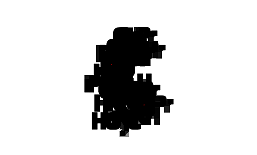 CC(C)C[C@H](NC(=O)CN)C(=O)N[C@@H](CC(C)C)C(=O)N[C@@H](CO)C(=O)N[C@H](C(=O)N[C@@H](CC(C)C)C(=O)NCC(=O)N[C@@H](CO)C(=O)N[C@H](C(=O)N[C@@H](C)C(=O)N[C@@H](CCCCN)C(=O)N[C@@H](Cc1c[nH]cn1)C(=O)N[C@H](C(=O)N[C@@H](CC(C)C)C(=O)N1CCC[C@H]1C(=O)N[C@@H](Cc1c[nH]cn1)C(=O)O)C(C)C)C(C)C)C(C)C